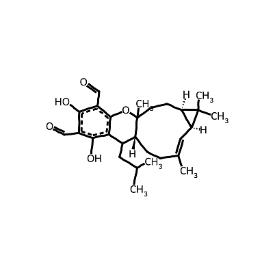 C/C1=C\[C@H]2[C@@H](CCC3(C)Oc4c(C=O)c(O)c(C=O)c(O)c4C(CC(C)C)[C@H]3CC1)C2(C)C